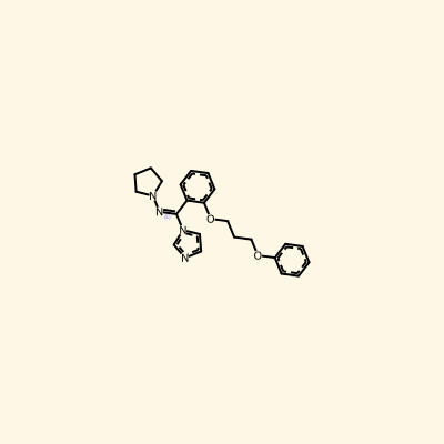 c1ccc(OCCCOc2ccccc2/C(=N\N2CCCC2)n2ccnc2)cc1